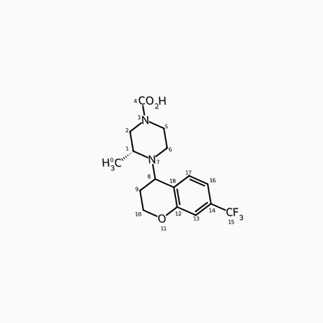 C[C@@H]1CN(C(=O)O)CCN1C1CCOc2cc(C(F)(F)F)ccc21